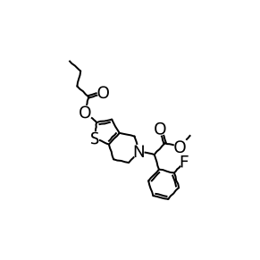 CCCC(=O)Oc1cc2c(s1)CCN(C(C(=O)OC)c1ccccc1F)C2